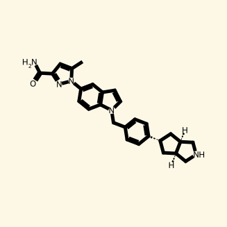 Cc1cc(C(N)=O)nn1-c1ccc2c(ccn2Cc2ccc([C@@H]3C[C@H]4CNC[C@H]4C3)cc2)c1